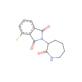 O=C1NCCCCC1N1C(=O)c2cccc(F)c2C1=O